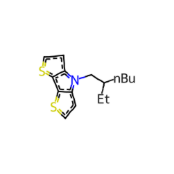 CCCCC(CC)Cn1c2ccsc2c2sccc21